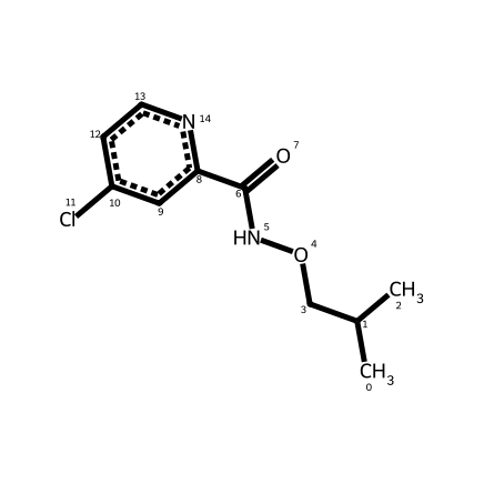 CC(C)CONC(=O)c1cc(Cl)ccn1